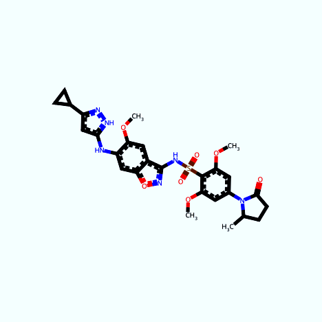 COc1cc2c(NS(=O)(=O)c3c(OC)cc(N4C(=O)CCC4C)cc3OC)noc2cc1Nc1cc(C2CC2)n[nH]1